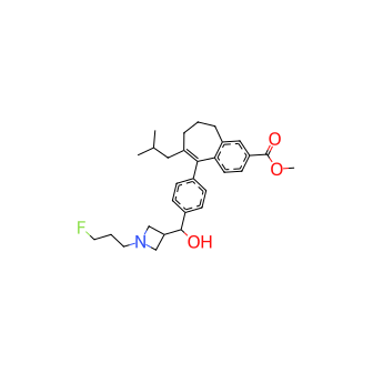 COC(=O)c1ccc2c(c1)CCCC(CC(C)C)=C2c1ccc(C(O)C2CN(CCCF)C2)cc1